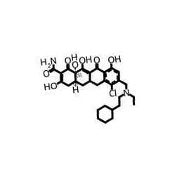 CCN(CCC1CCCCC1)Cc1cc(O)c2c(c1Cl)CC1C[C@H]3CC(O)=C(C(N)=O)C(=O)[C@@]3(O)C(O)=C1C2=O